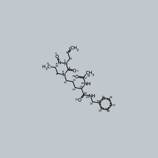 C=CCN(N=O)C(=O)N(CCC)CCCC(NC(C)=O)C(=O)NCc1ccccc1